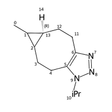 CC1C2CCc3c(nnn3C(C)C)CC[C@H]12